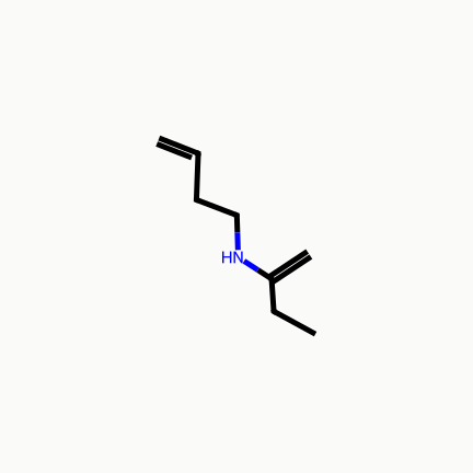 C=CCCNC(=C)CC